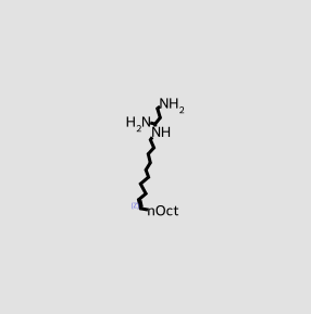 CCCCCCCC/C=C\CCCCCCCCNC(N)CCN